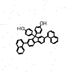 Oc1ccc(C2(c3ccc(O)cc3)c3cc(-c4cccc5ccccc45)ccc3-c3ccc(-c4cccc5ccccc45)cc32)cc1